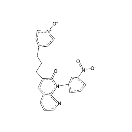 O=c1c(CCCc2cc[n+]([O-])cc2)cc2cccnc2n1-c1cccc([N+](=O)[O-])c1